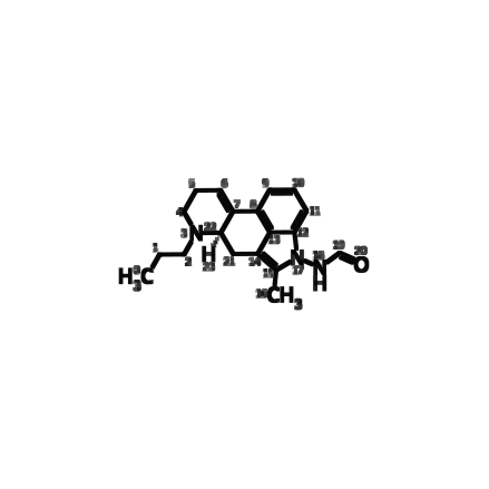 CCCN1CCC=C2c3cccc4c3c(c(C)n4NC=O)C[C@H]21